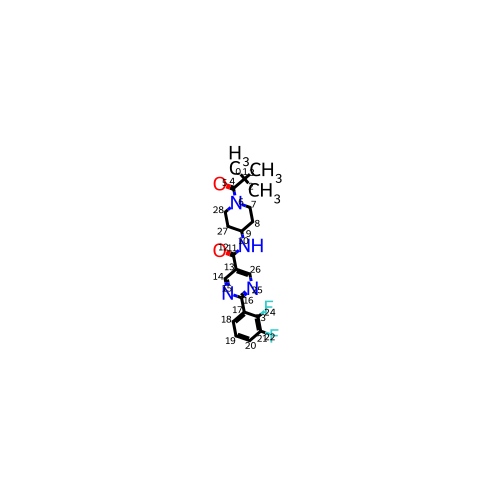 CC(C)(C)C(=O)N1CCC(NC(=O)c2cnc(-c3cccc(F)c3F)nc2)CC1